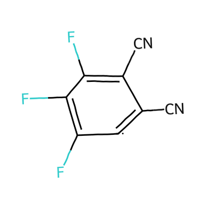 N#Cc1[c]c(F)c(F)c(F)c1C#N